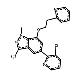 Cn1nc(N)c2cc(-c3ncccc3Cl)cc(OCCc3ccccn3)c21